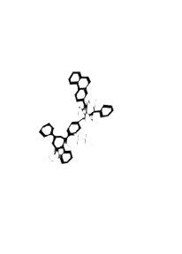 CC1(c2ccc(-c3nc(-c4ccccc4)nc(-c4ccc5c(ccc6ccccc65)c4)n3)cc2)CC(c2ccccc2)=Cc2oc3ccccc3c21